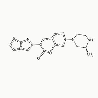 C[C@H]1CN(c2ccc3cc(-c4cn5ccsc5n4)c(=O)oc3c2)CCN1